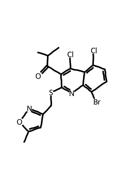 Cc1cc(CSc2nc3c(Br)ccc(Cl)c3c(Cl)c2C(=O)C(C)C)no1